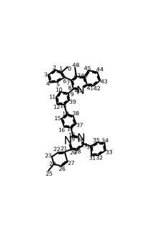 Cc1ccccc1-c1c(-c2cccc(-c3ccc(-c4nc(C5=CCC(C)C=C5)cc(-c5ccccc5)n4)cc3)c2)nc2ccccc2c1C